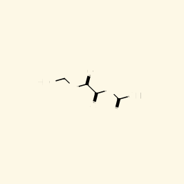 CCOC(=O)C(=O)OC(C)=O